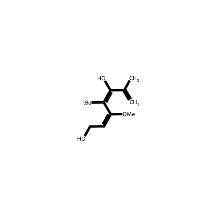 C=C(C)/C(O)=C(\C(=C/CO)OC)C(C)(C)C